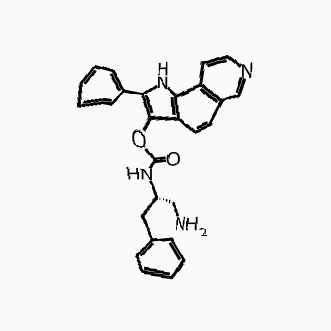 NC[C@H](Cc1ccccc1)NC(=O)Oc1c(-c2ccccc2)[nH]c2c1ccc1cnccc12